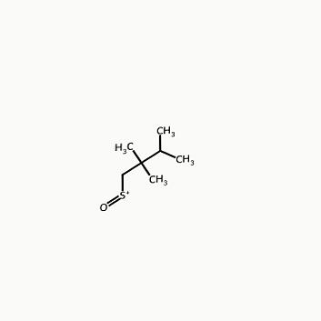 CC(C)C(C)(C)C[S+]=O